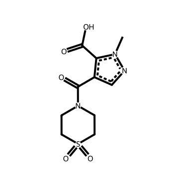 Cn1ncc(C(=O)N2CCS(=O)(=O)CC2)c1C(=O)O